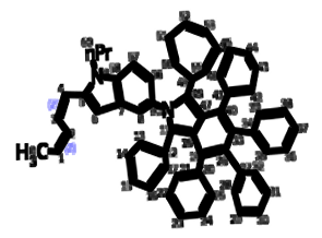 C/C=C\C=C/c1cc2cc(-n3c(-c4ccccc4)c4c(-c5ccccc5)c(-c5ccccc5)c(-c5ccccc5)c(-c5ccccc5)c4c3C3C=CC=CC=C3)ccc2n1CCC